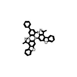 Cc1nn2c3c(cc4oc5ccccc5c4c13)B1c3c-2cc(-c2ccccc2)cc3-n2nc(C)c3c4c(cc1c32)oc1ccccc14